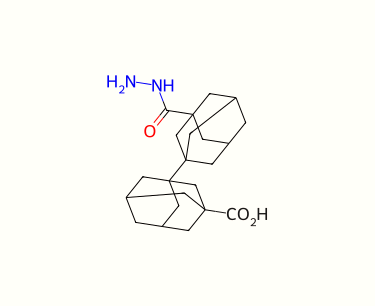 NNC(=O)C12CC3CC(C1)CC(C14CC5CC(CC(C(=O)O)(C5)C1)C4)(C3)C2